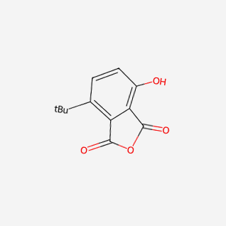 CC(C)(C)c1ccc(O)c2c1C(=O)OC2=O